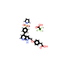 O=C(O)C(F)(F)F.O=C(O)Cc1ccc(OCc2cc3c(-c4ccc(S(=O)(=O)N5CCCC5)cc4)ccnc3[nH]2)cc1